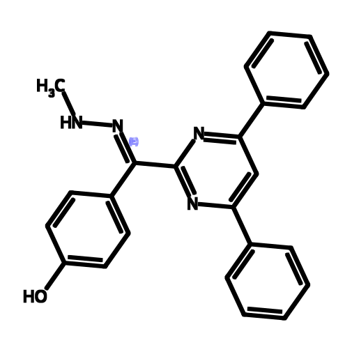 CN/N=C(\c1ccc(O)cc1)c1nc(-c2ccccc2)cc(-c2ccccc2)n1